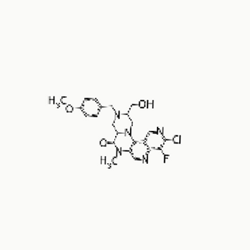 COc1ccc(CN2CC3C(=O)N(C)c4cnc5c(F)c(Cl)ncc5c4N3CC2CO)cc1